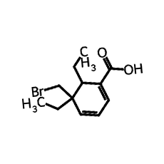 CCC1C(C(=O)O)=CC=CC1(CC)CBr